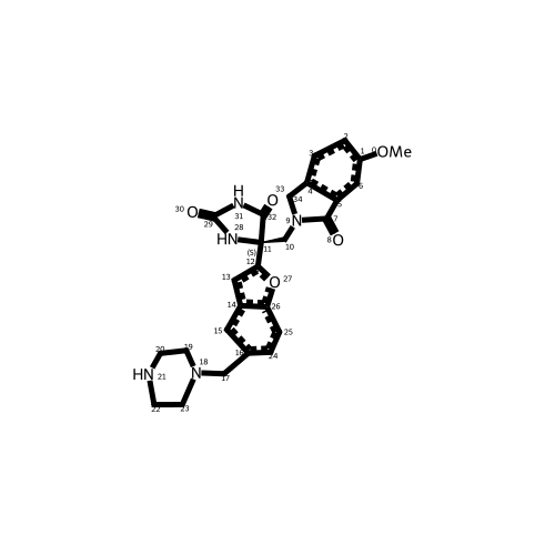 COc1ccc2c(c1)C(=O)N(C[C@@]1(c3cc4cc(CN5CCNCC5)ccc4o3)NC(=O)NC1=O)C2